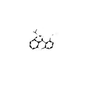 COc1cccc2c1-c1nn(C(C)O)c3cccc(c13)N2